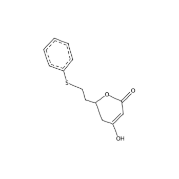 O=C1C=C(O)CC(CCSc2ccccc2)O1